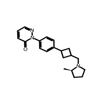 C[C@@H]1CCCN1CC1CC(c2ccc(-n3ncccc3=O)cc2)C1